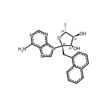 C[C@H]1O[C@@](Cc2cccc3ccccc23)(n2cnc3c(N)ncnc32)[C@H](O)[C@@H]1O